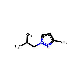 Cc1ccn(CC(C)C)n1